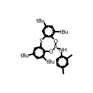 Cc1ccc(NP2Oc3c(cc(C(C)(C)C)cc3C(C)(C)C)Sc3cc(C(C)(C)C)cc(C(C)(C)C)c3O2)c(C)c1